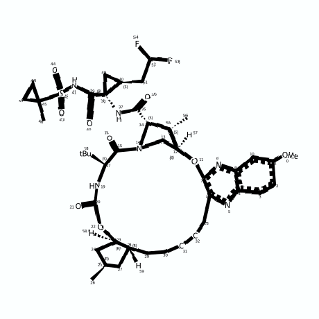 COc1ccc2nc3c(nc2c1)O[C@H]1CN(C(=O)[C@H](C(C)(C)C)NC(=O)O[C@@H]2C[C@H](C)C[C@H]2CCCCC3)[C@H](C(=O)N[C@]2(C(=O)NS(=O)(=O)C3(C)CC3)C[C@H]2CC(F)F)[C@@H]1C